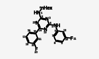 CCCCCCNc1nc(Nc2cccc(F)c2)nc(-c2cccc(F)c2)n1